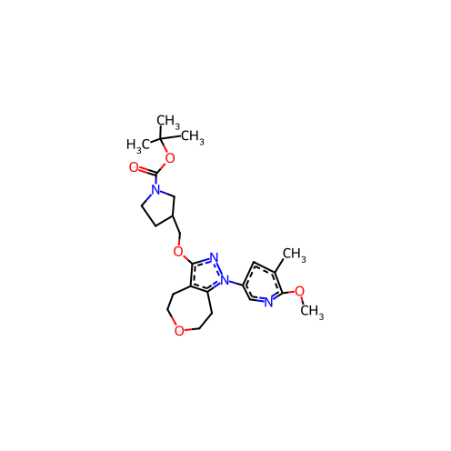 COc1ncc(-n2nc(OCC3CCN(C(=O)OC(C)(C)C)C3)c3c2CCOCC3)cc1C